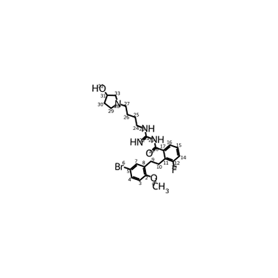 COc1ccc(Br)cc1CCc1c(F)cccc1C(=O)NC(=N)NCCCCN1CCC(O)C1